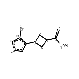 COC(=O)C1CN(c2cscc2Br)C1